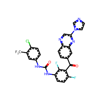 O=C(Nc1ccc(Cl)c(C(F)(F)F)c1)Nc1ccc(F)c(C(=O)c2ccc3ncc(-n4ccnc4)nc3c2)c1F